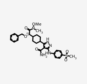 CON(C)C(=O)[C@@H](OCc1ccccc1)C1CCC(c2[nH]nc(Nc3ccc(S(C)(=O)=O)cc3)c2C(N)=O)CC1